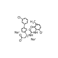 Cn1ccc([O-])c(NC(=O)N[C@@H](CC(=O)[O-])c2ccc(-c3cccc(Cl)c3)s2)c1=O.[Na+].[Na+]